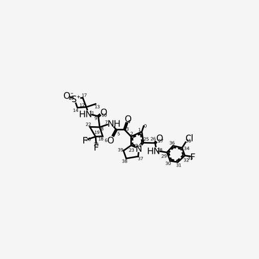 Cc1c(C(=O)C(=O)NC2(C(=O)NC3(C)C[S+]([O-])C3)CC(F)(F)C2)c2n(c1C(=O)Nc1ccc(F)c(Cl)c1)CCC2